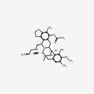 C=CCNC[C@H]1c2c(c(OC(C)=O)c(C)c3c2OCO3)CC2[C@@H]3N[C@H](Cc4cc(C)c(OC)c(O)c43)[C@H](C#N)N21